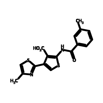 Cc1cccc(C(=O)Nc2scc(-c3nc(C)cs3)c2C(=O)O)c1